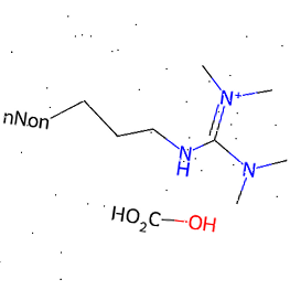 CCCCCCCCCCCCNC(N(C)C)=[N+](C)C.O=C(O)O